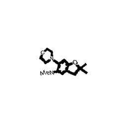 CNc1cc2c(cc1N1CCOCC1)OC(C)(C)C2